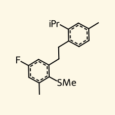 CSc1c(C)cc(F)cc1CCc1ccc(C)cc1C(C)C